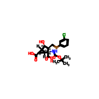 CC(C)(C)OC(=O)N[C@]1(C(=O)O)[C@@H]2[C@@H](C(=O)O)[C@@H]2[C@H](O)[C@H]1CSc1cccc(Cl)c1